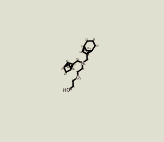 OCCOCCN(CC1=C2CCCC(=C1)C2)CC1=C2CC(=C1)C2